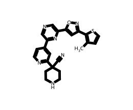 Cc1ccsc1-c1cc(-c2cncc(-c3ccnc(C4(C#N)CCNCC4)c3)n2)on1